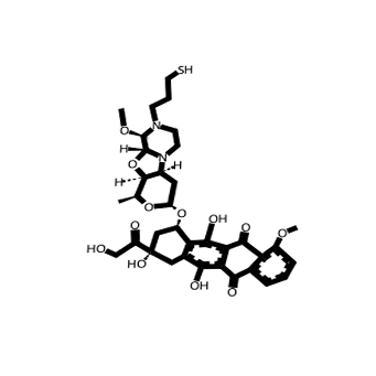 COc1cccc2c1C(=O)c1c(O)c3c(c(O)c1C2=O)C[C@@](O)(C(=O)CO)C[C@@H]3O[C@H]1C[C@H]2[C@H](O[C@@H]3[C@@H](OC)N(CCCS)CCN32)[C@H](C)O1